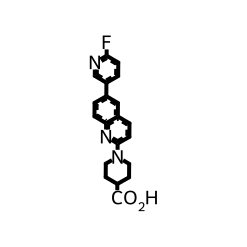 O=C(O)C1CCN(c2ccc3cc(-c4ccc(F)nc4)ccc3n2)CC1